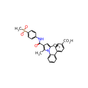 Cc1cc(C(=O)Nc2ccc(S(C)(=O)=O)cc2)c(C)n1-c1ccccc1-c1ccc(C(=O)O)cc1